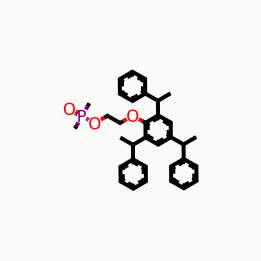 CC(c1ccccc1)c1cc(C(C)c2ccccc2)c(OCCOP(C)(C)=O)c(C(C)c2ccccc2)c1